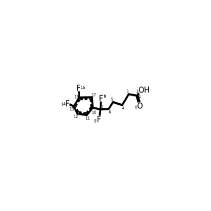 O=C(O)CCCCC(F)(F)c1ccc(F)c(F)c1